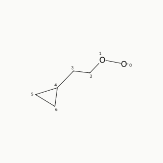 [O]OCCC1CC1